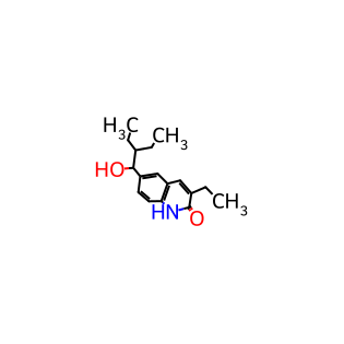 CCc1cc2cc(C(O)C(CC)CC)ccc2[nH]c1=O